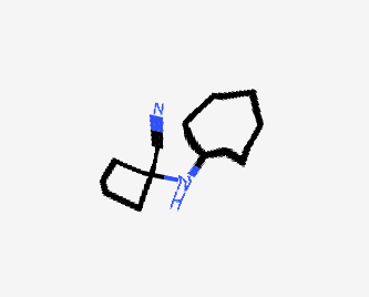 N#CC1(NC2CCCCC2)CCC1